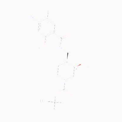 COc1cc(N)c(Cl)cc1C(=O)NC[C@@H]1CCN(C(=O)OC(C)(C)C)C[C@@H]1OC